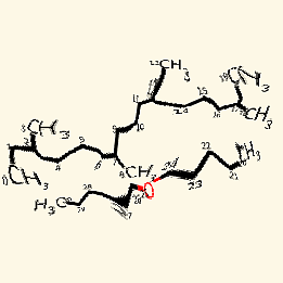 CCC(C)CCCC(C)CCCC(C)CCCC(C)C.CCCCCOCCCCC